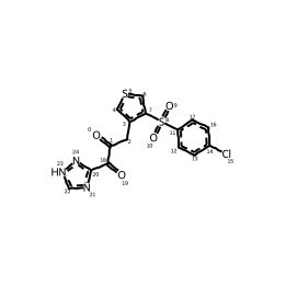 O=C(Cc1cscc1S(=O)(=O)c1ccc(Cl)cc1)C(=O)c1nc[nH]n1